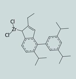 CCC1=Cc2c(ccc(C(C)C)c2-c2cc(C(C)C)cc(C(C)C)c2)[CH]1[Zr]([Cl])[Cl]